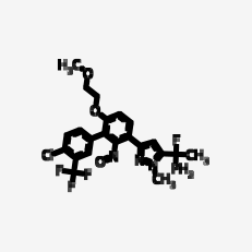 COCCOc1ccc(-c2cc(C(C)(F)P)n(C)n2)c(N=O)c1-c1ccc(Cl)c(C(F)(F)F)c1